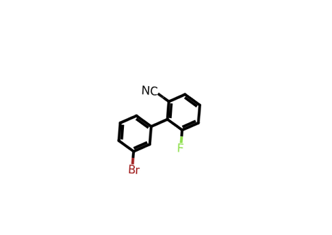 N#Cc1cccc(F)c1-c1cccc(Br)c1